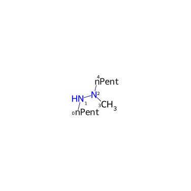 CCCCCNN(C)CCCCC